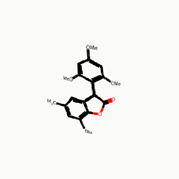 COc1cc(OC)c(C2C(=O)Oc3c2cc(C)cc3C(C)(C)C)c(OC)c1